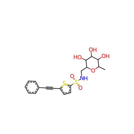 CC1OC(CNS(=O)(=O)c2ccc(C#Cc3ccccc3)s2)C(O)C(O)C1O